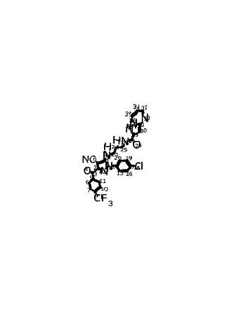 N#Cc1c(C(=O)c2ccc(C(F)(F)F)cc2)nn(-c2ccc(Cl)cc2)c1NCCCNC(=O)c1cc2ncccn2n1